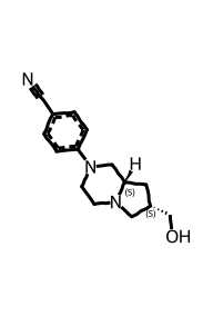 N#Cc1ccc(N2CCN3C[C@@H](CO)C[C@H]3C2)cc1